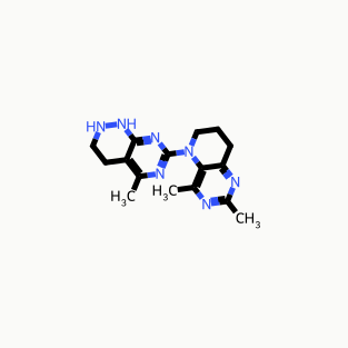 Cc1nc(C)c2c(n1)CCCN2c1nc(C)c2c(n1)NNCC2